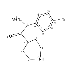 CN[C@@H](C(=O)N1CCNCC1)c1ccc(C)cc1